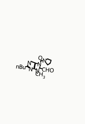 CCCCc1ncc2c(n1)N(C)C(C=O)N2C(=O)N1CCCC1